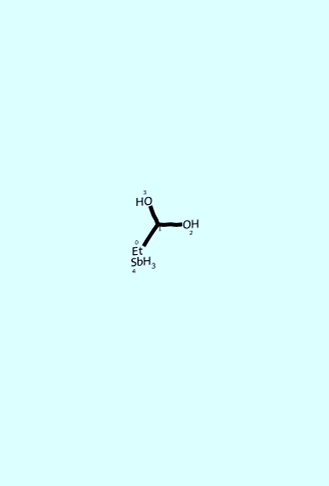 CCC(O)O.[SbH3]